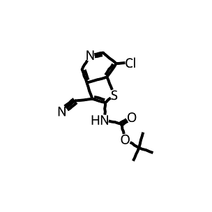 CC(C)(C)OC(=O)Nc1sc2c(Cl)cncc2c1C#N